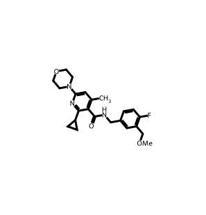 COCc1cc(CNC(=O)c2c(C)cc(N3CCOCC3)nc2C2CC2)ccc1F